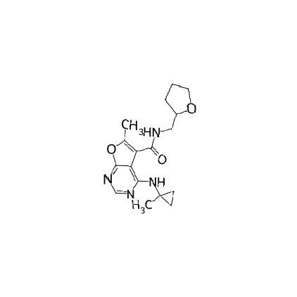 Cc1oc2ncnc(NC3(C)CC3)c2c1C(=O)NCC1CCCO1